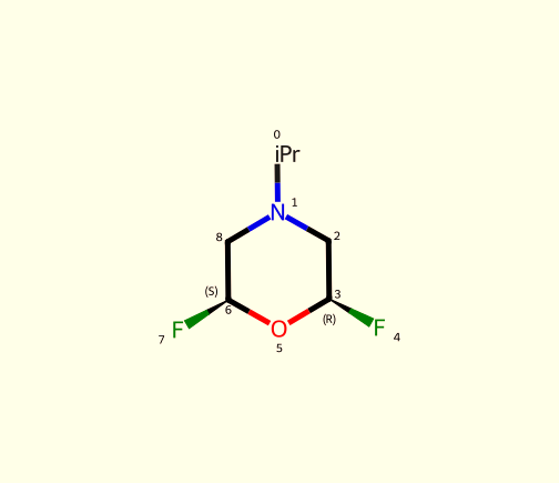 CC(C)N1C[C@@H](F)O[C@@H](F)C1